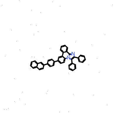 c1ccc(-c2nc3c4ccccc4c4cc(-c5ccc(-c6ccc7ccccc7c6)cc5)ccc4n3c2-c2ccccc2)cc1